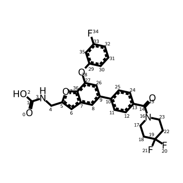 O=C(O)NCc1cc2cc(-c3ccc(C(=O)N4CCC(F)(F)CC4)cc3)cc(Oc3cccc(F)c3)c2o1